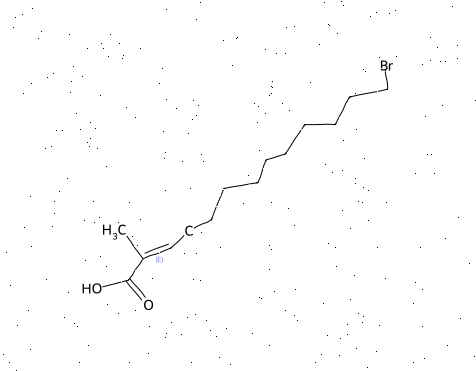 C/C(=C\CCCCCCCCCCBr)C(=O)O